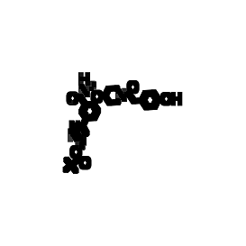 CC(C)(C)C(=O)OCn1cc(-c2ccc(OC3CCN(C(=O)Cc4ccc(O)cc4)CC3)c(C(N)=O)c2)nn1